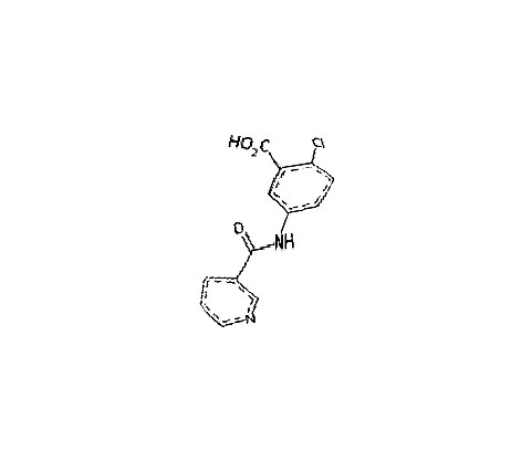 O=C(Nc1ccc(Cl)c(C(=O)O)c1)c1cccnc1